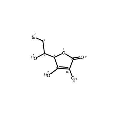 O=C1OC(C(O)CBr)C(O)=C1O